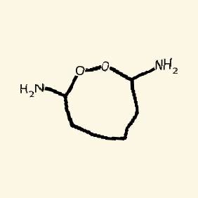 NC1CCCCC(N)OO1